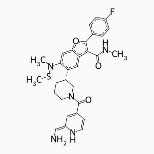 CNC(=O)c1c(-c2ccc(F)cc2)oc2cc(N(C)SC)c([C@H]3CCCN(C(=O)C4=C/C(=C/N)NC=C4)C3)cc12